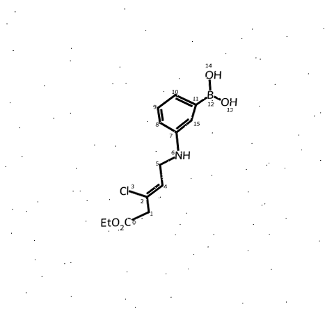 CCOC(=O)CC(Cl)=CCNc1cccc(B(O)O)c1